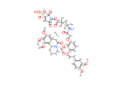 CC[C@H](C(=O)N1CCCC[C@H]1C(=O)O[C@H](CCc1ccc(OC)c(OC)c1)c1cccc(OCC(=O)NC(C)(C)CC(C)(C)C(=O)ON2C(=O)C=C(S(=O)(=O)O)C2=O)c1)c1cc(OC)c(OC)c(OC)c1